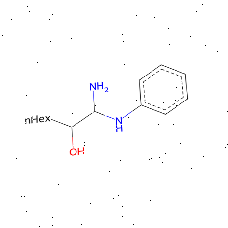 CCCCCCC(O)C(N)Nc1ccccc1